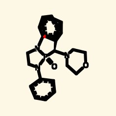 O=P1([C@@H](c2ccccc2)N2CCOCC2)N(c2ccccc2)CCN1c1ccccc1